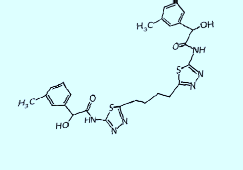 Cc1cccc(C(O)C(=O)Nc2nnc(CCCCc3nnc(NC(=O)C(O)c4cccc(C)c4)s3)s2)c1